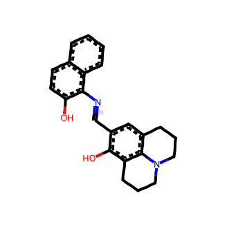 Oc1ccc2ccccc2c1/N=C/c1cc2c3c(c1O)CCCN3CCC2